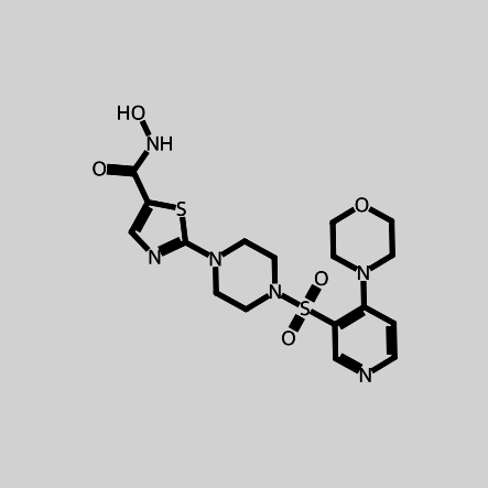 O=C(NO)c1cnc(N2CCN(S(=O)(=O)c3cnccc3N3CCOCC3)CC2)s1